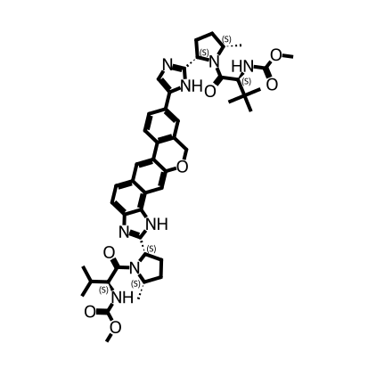 COC(=O)N[C@H](C(=O)N1[C@@H](C)CC[C@H]1c1nc2ccc3cc4c(cc3c2[nH]1)OCc1cc(-c2cnc([C@@H]3CC[C@H](C)N3C(=O)[C@@H](NC(=O)OC)C(C)(C)C)[nH]2)ccc1-4)C(C)C